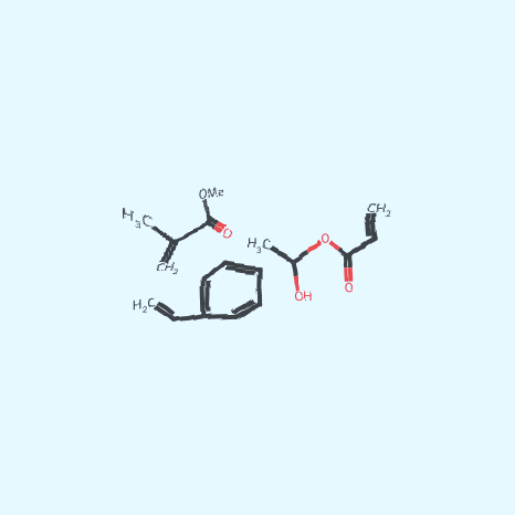 C=C(C)C(=O)OC.C=CC(=O)OC(C)O.C=Cc1ccccc1